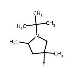 CC1CC(C)(F)CN1C(C)(C)C